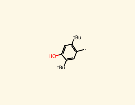 [CH2]c1cc(C(C)(C)C)c(O)cc1C(C)(C)C